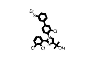 CCSc1cccc(-c2ccc(-n3cc(C(C)(C)O)nc3-c3cccc(Cl)c3Cl)c(Cl)c2)c1